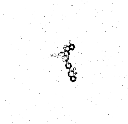 CN1C(=O)N(C2CCN(C(=O)Cn3cc(-c4cccc(F)c4Cl)c(=O)n(CC(=O)O)c3=O)CC2)CCc2ccccc21